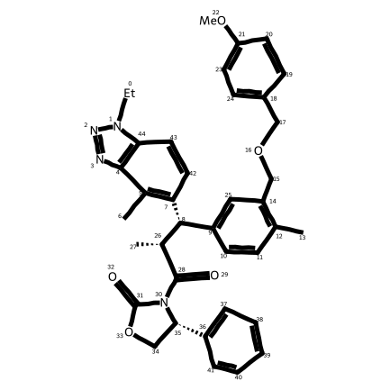 CCn1nnc2c(C)c([C@H](c3ccc(C)c(COCc4ccc(OC)cc4)c3)[C@@H](C)C(=O)N3C(=O)OC[C@H]3c3ccccc3)ccc21